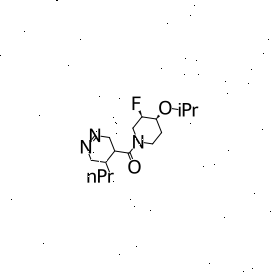 CCCC1CN=NCC1C(=O)N1CC[C@H](OC(C)C)[C@H](F)C1